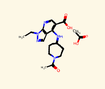 CC(=O)O.CCn1ncc2c(NC3CCN(C(C)=O)CC3)c(C(=O)O)cnc21